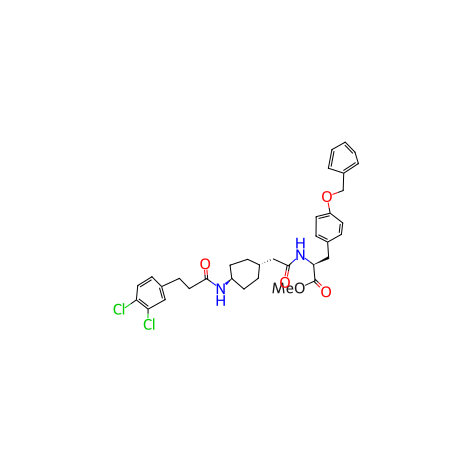 COC(=O)[C@H](Cc1ccc(OCc2ccccc2)cc1)NC(=O)C[C@H]1CC[C@H](NC(=O)CCc2ccc(Cl)c(Cl)c2)CC1